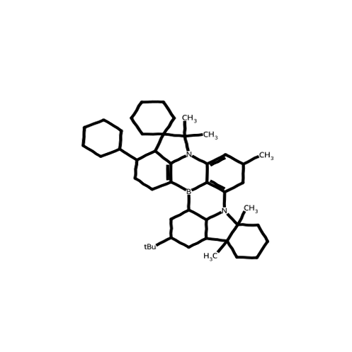 CC1C=C2C3=C(C1)N1C4C(CC(C(C)(C)C)CC4C4(C)CCCCC14C)B3C1=C3C(C(C4CCCCC4)CC1)C1(CCCCC1)C(C)(C)N23